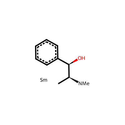 CN[C@@H](C)[C@H](O)c1ccccc1.[Sm]